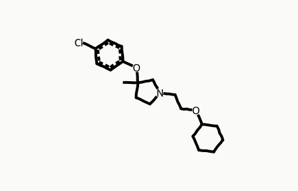 CC1(Oc2ccc(Cl)cc2)CCN(CCOC2CCCCC2)C1